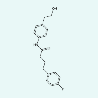 O=C(CCCc1ccc(F)cc1)Nc1ccc(CCO)cc1